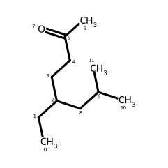 CCC(CCC(C)=O)CC(C)C